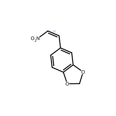 O=[N+]([O-])/C=C\c1ccc2c(c1)OCO2